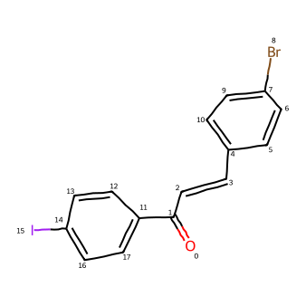 O=C(/C=C/c1ccc(Br)cc1)c1ccc(I)cc1